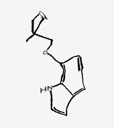 CC1(COc2cccc3cc[nH]c23)CO1